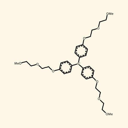 COCCOCCOc1ccc([S+](c2ccc(OCCOCCOC)cc2)c2ccc(OCCOCCOC)cc2)cc1